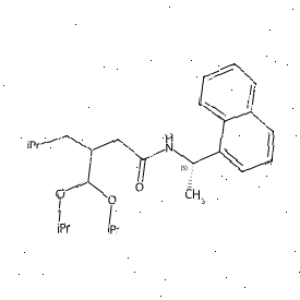 CC(C)CC(CC(=O)N[C@@H](C)c1cccc2ccccc12)C(OC(C)C)OC(C)C